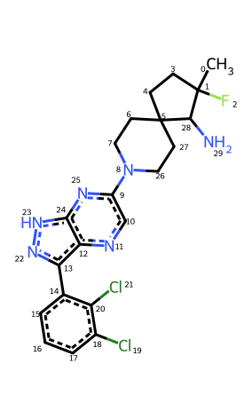 CC1(F)CCC2(CCN(c3cnc4c(-c5cccc(Cl)c5Cl)n[nH]c4n3)CC2)C1N